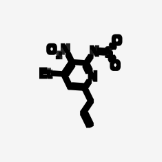 C=CCc1cc(CC)c([N+](=O)[O-])c(N=S(=O)=O)n1